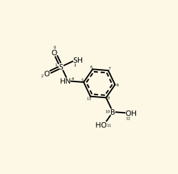 O=S(=O)(S)Nc1cccc(B(O)O)c1